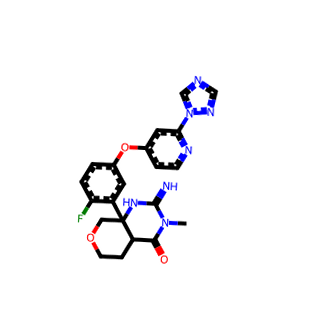 CN1C(=N)NC2(c3cc(Oc4ccnc(-n5cncn5)c4)ccc3F)COCCC2C1=O